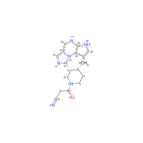 C[C@@H]1CCN(C(=O)CC#N)C[C@@H]1c1ncc2cnc3[nH]ccc3n12